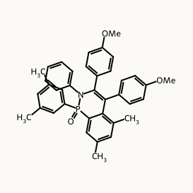 COc1ccc(C2=C(c3ccc(OC)cc3)N(c3ccccc3)P(=O)(c3cc(C)cc(C)c3)c3cc(C)cc(C)c32)cc1